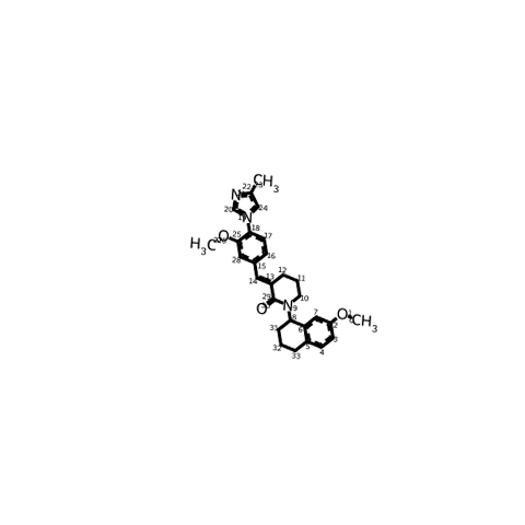 COc1ccc2c(c1)C(N1CCCC(=Cc3ccc(-n4cnc(C)c4)c(OC)c3)C1=O)CCC2